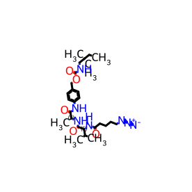 CCC(C)(C)CNC(=O)OCc1ccc(NC(=O)[C@H](C)NC(=O)[C@@H](NC(=O)CCCCN=[N+]=[N-])C(C)C)cc1